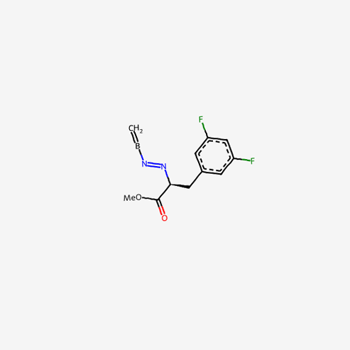 C=BN=N[C@@H](Cc1cc(F)cc(F)c1)C(=O)OC